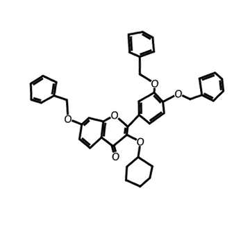 O=c1c(OC2CCCCC2)c(-c2ccc(OCc3ccccc3)c(OCc3ccccc3)c2)oc2cc(OCc3ccccc3)ccc12